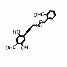 O=Cc1cc(O)c(C#CCNOCc2ccccc2C=O)cc1O